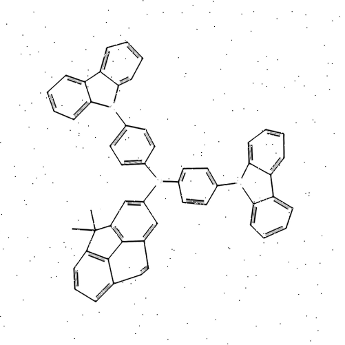 CC1(C)c2cccc3ccc4cc(N(c5ccc(-n6c7ccccc7c7ccccc76)cc5)c5ccc(-n6c7ccccc7c7ccccc76)cc5)cc1c4c23